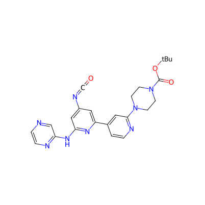 CC(C)(C)OC(=O)N1CCN(c2cc(-c3cc(N=C=O)cc(Nc4cnccn4)n3)ccn2)CC1